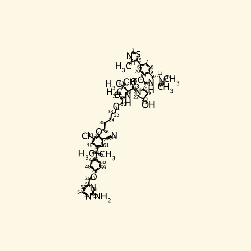 Cc1ncsc1-c1ccc([C@H](CN(C)C)NC(=O)[C@@H]2C[C@@H](O)CN2C(=O)[C@@H](NC(=O)COCCCCCOc2c(Cl)cc(C(C)(C)c3ccc(OCc4ccnc(N)n4)cc3)cc2C#N)C(C)(C)C)cc1